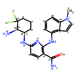 Cn1ccc2c(Nc3nc(N[C@@H]4CCCC(F)(F)[C@@H]4N)ccc3C(N)=O)cccc21